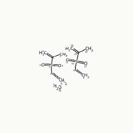 C=CS(=O)(=O)C(=C)C.C=CS(=O)(=O)C(=C)C.O